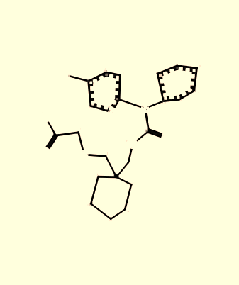 O=C(O)COCC1(COC(=O)N(c2ccccc2)c2ccc(Cl)cn2)CCCCC1